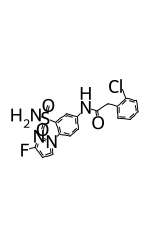 NS(=O)(=O)c1cc(NC(=O)Cc2ccccc2Cl)ccc1-n1ccc(F)n1